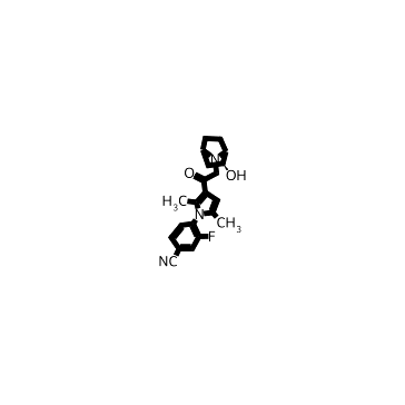 Cc1cc(C(=O)CN2C3CCC2[C@H](O)C3)c(C)n1-c1ccc(C#N)cc1F